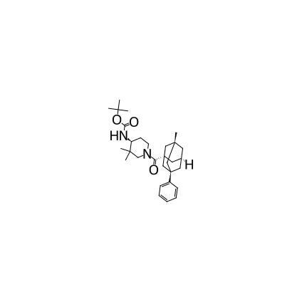 CC(C)(C)OC(=O)N[C@H]1CCN(C(=O)[C@@]23C[C@H]4C[C@@](C)(C2)C[C@](c2ccccc2)(C4)C3)CC1(C)C